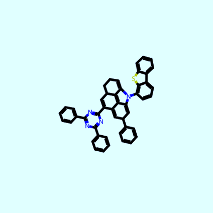 C1=C(c2nc(-c3ccccc3)nc(-c3ccccc3)n2)C2=CC(c3ccccc3)C=c3c2c2c(n3-c3cccc4c3sc3ccccc34)=CCCC12